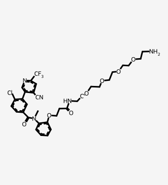 CN(C(=O)c1ccc(Cl)c(-c2cnc(C(F)(F)F)cc2C#N)c1)c1ccccc1OCCC(=O)NCCOCCOCCOCCOCCN